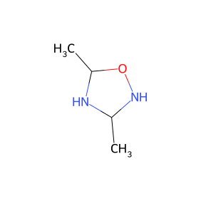 CC1NOC(C)N1